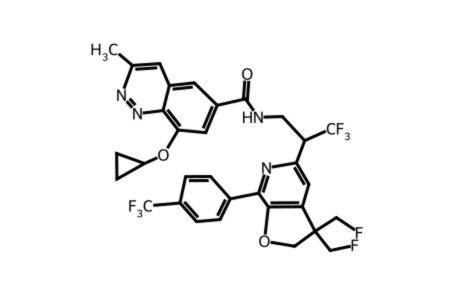 Cc1cc2cc(C(=O)NCC(c3cc4c(c(-c5ccc(C(F)(F)F)cc5)n3)OCC4(CF)CF)C(F)(F)F)cc(OC3CC3)c2nn1